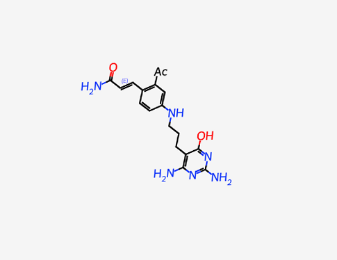 CC(=O)c1cc(NCCCc2c(N)nc(N)nc2O)ccc1/C=C/C(N)=O